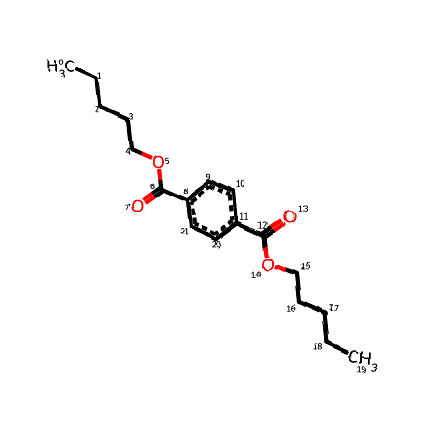 CCCCCOC(=O)c1ccc(C(=O)OCCCCC)cc1